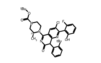 C[C@H]1CN(C(=O)OC(C)(C)C)CCN1C1=NC(=O)C(c2ccccc2C(C)(C)C)c2nc(-c3c(O)cccc3F)c(Cl)cc21